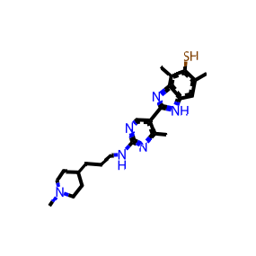 Cc1cc2[nH]c(-c3cnc(NCCCC4CCN(C)CC4)nc3C)nc2c(C)c1S